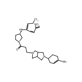 C=C(/C=C\C(=C/CC(F)(F)F)N[C@@H]1CCN(C(=O)CCN2CC3CN(C4CC=C(C(C)(C)C)CC4)CC3C2)C1)[N+](=O)[O-]